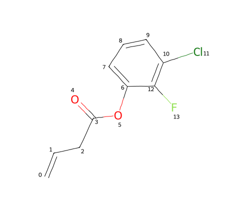 C=CCC(=O)Oc1cccc(Cl)c1F